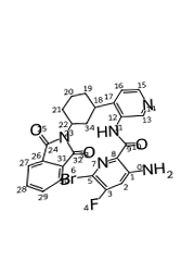 Nc1cc(F)c(Br)nc1C(=O)Nc1cnccc1C1CCCC(N2C(=O)c3ccccc3C2=O)C1